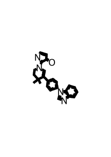 CC1(C)CCN(C2=NC=CC2=O)C=C1c1ccc(-n2cnc3ccccc32)cc1